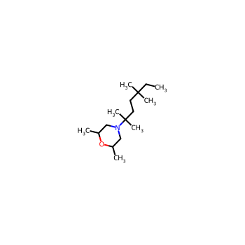 CCC(C)(C)CCC(C)(C)N1CC(C)OC(C)C1